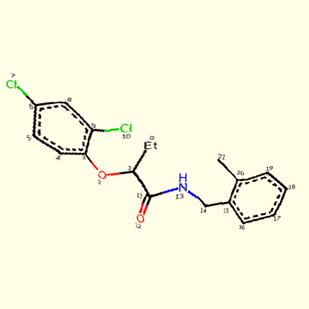 CCC(Oc1ccc(Cl)cc1Cl)C(=O)NCc1ccccc1C